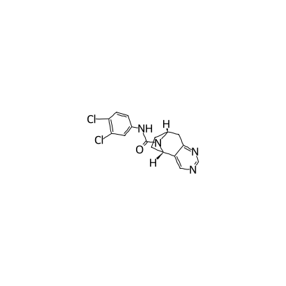 O=C(Nc1ccc(Cl)c(Cl)c1)N1[C@@H]2CC[C@H]1c1cncnc1C2